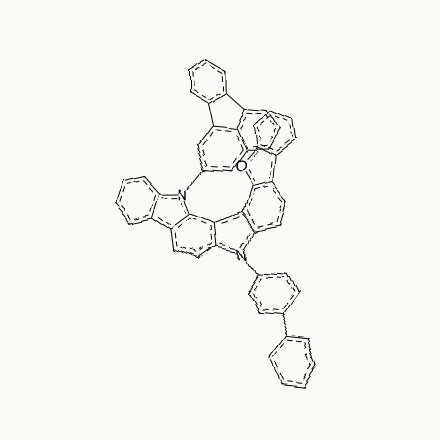 c1ccc(-c2ccc(-n3c4ccc5c6ccccc6oc5c4c4c3ccc3c5ccccc5n(-c5cc6c7c(cccc7c5)-c5ccccc5-6)c34)cc2)cc1